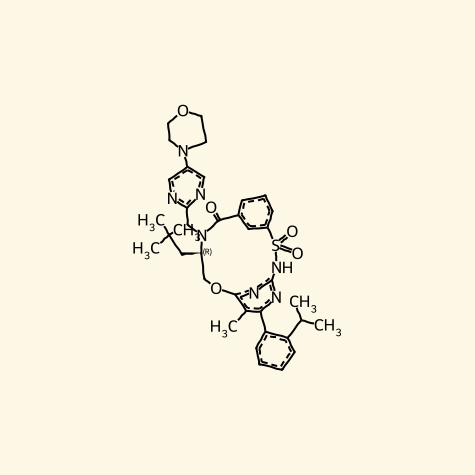 Cc1c2nc(nc1-c1ccccc1C(C)C)NS(=O)(=O)c1cccc(c1)C(=O)N(Cc1ncc(N3CCOCC3)cn1)[C@H](CC(C)(C)C)CO2